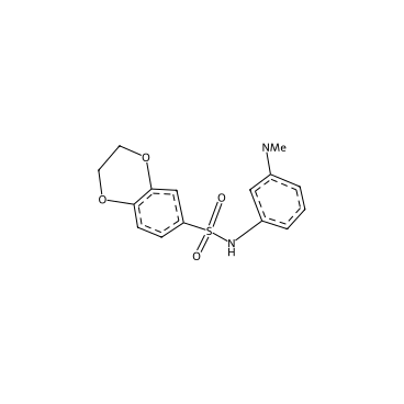 CNc1cccc(NS(=O)(=O)c2ccc3c(c2)OCCO3)c1